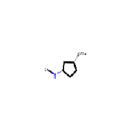 CCN[C@H]1CC[C@@H](OC)C1